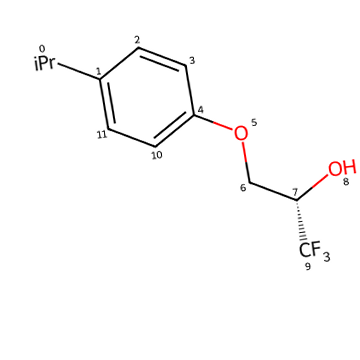 CC(C)c1ccc(OC[C@H](O)C(F)(F)F)cc1